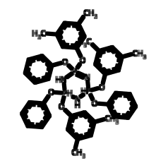 Cc1cc(C)cc(OP2(Oc3ccccc3)=N[PH](Oc3ccccc3)(Oc3cc(C)cc(C)c3)N[PH](Oc3ccccc3)(Oc3cc(C)cc(C)c3)N2)c1